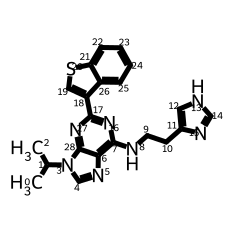 CC(C)n1cnc2c(NCCc3c[nH]cn3)nc(-c3csc4ccccc34)nc21